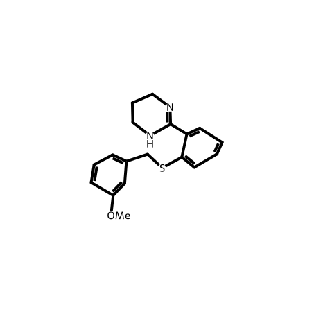 COc1cccc(CSc2ccccc2C2=NCCCN2)c1